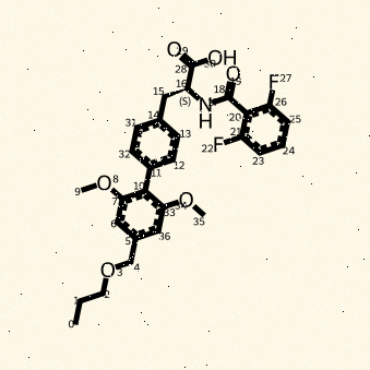 CCCOCc1cc(OC)c(-c2ccc(C[C@H](NC(=O)c3c(F)cccc3F)C(=O)O)cc2)c(OC)c1